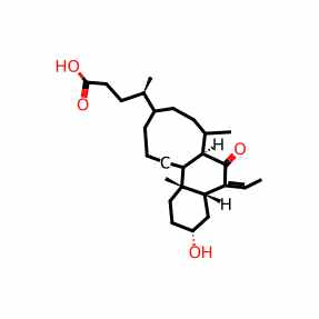 C/C=C1\C(=O)[C@@H]2C(C)CCC([C@H](C)CCC(=O)O)CCCC2[C@@]2(C)CC[C@@H](O)C[C@@H]12